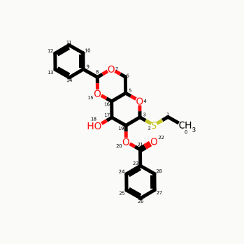 CCSC1OC2COC(c3ccccc3)OC2C(O)C1OC(=O)c1ccccc1